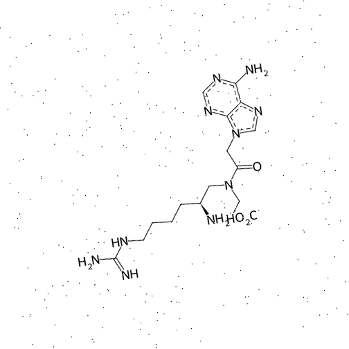 N=C(N)NCCCC[C@H](N)CN(CC(=O)O)C(=O)Cn1cnc2c(N)ncnc21